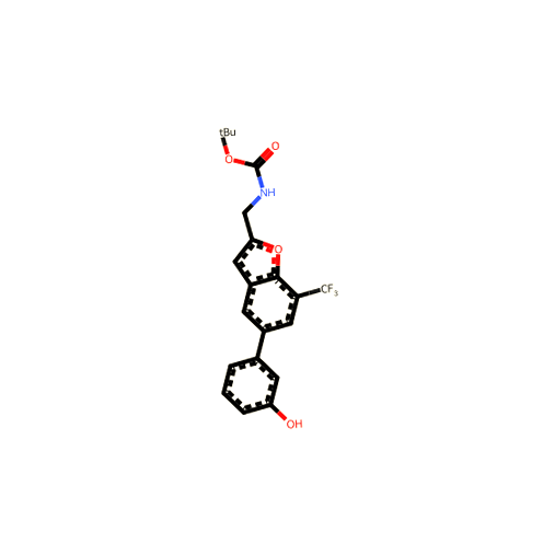 CC(C)(C)OC(=O)NCc1cc2cc(-c3cccc(O)c3)cc(C(F)(F)F)c2o1